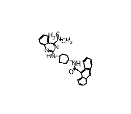 CN(C)c1nc(N[C@H]2CC[C@@H](NC(=O)c3c4ccccc4cc4ccccc34)CC2)nc2ccccc12